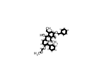 CCc1cc(OCc2ccccc2)c(F)c(CC)c1C(O)c1ccc(OCOC)c(-c2ccccc2)n1